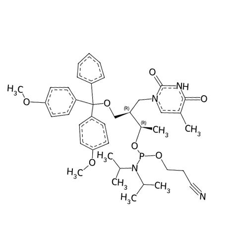 COc1ccc(C(OC[C@@H](Cn2cc(C)c(=O)[nH]c2=O)[C@@H](C)OP(OCCC#N)N(C(C)C)C(C)C)(c2ccccc2)c2ccc(OC)cc2)cc1